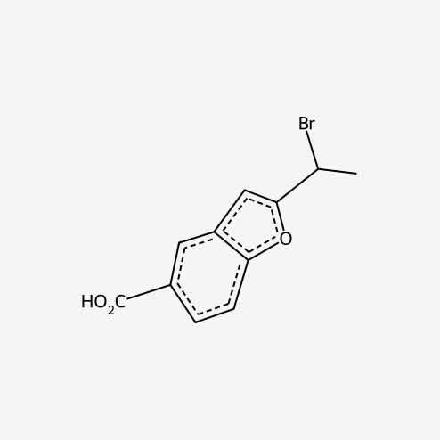 CC(Br)c1cc2cc(C(=O)O)ccc2o1